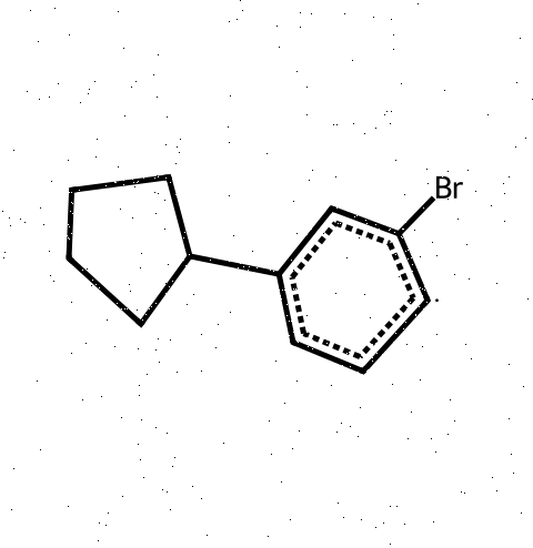 Brc1[c]ccc(C2CCCC2)c1